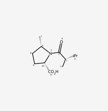 CC(C)[C@H](C)C(=O)N1[C@@H](C)CC[C@H]1C(=O)O